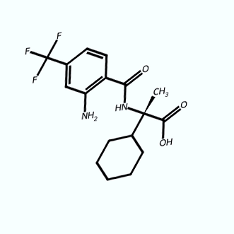 C[C@@](NC(=O)c1ccc(C(F)(F)F)cc1N)(C(=O)O)C1CCCCC1